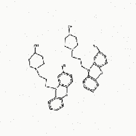 N#Cc1ccc2c(c1)N(CCCN1CCC(O)CC1)c1ccccc1S2.N#Cc1ccc2c(c1)N(CCCN1CCC(O)CC1)c1ccccc1S2